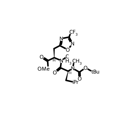 COC(=O)[C@@H](Cc1nc(C(F)(F)F)no1)N(C)C(=O)[C@H](CC(C)C)N(C)C(=O)OC(C)(C)C